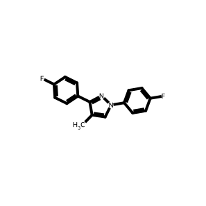 Cc1cn(-c2ccc(F)cc2)nc1-c1ccc(F)cc1